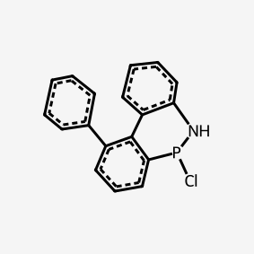 ClP1Nc2ccccc2-c2c(-c3ccccc3)cccc21